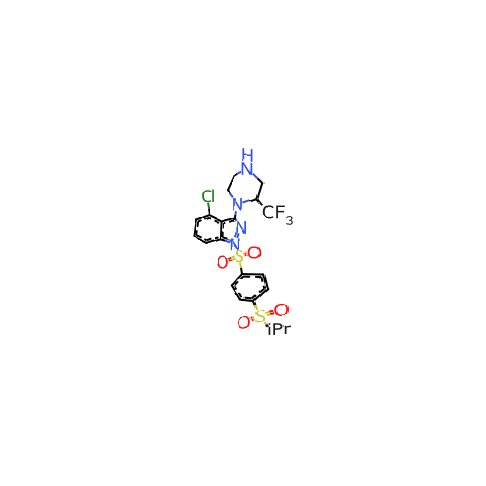 CC(C)S(=O)(=O)c1ccc(S(=O)(=O)n2nc(N3CCNCC3C(F)(F)F)c3c(Cl)cccc32)cc1